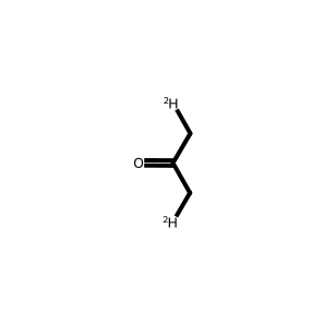 [2H]CC(=O)C[2H]